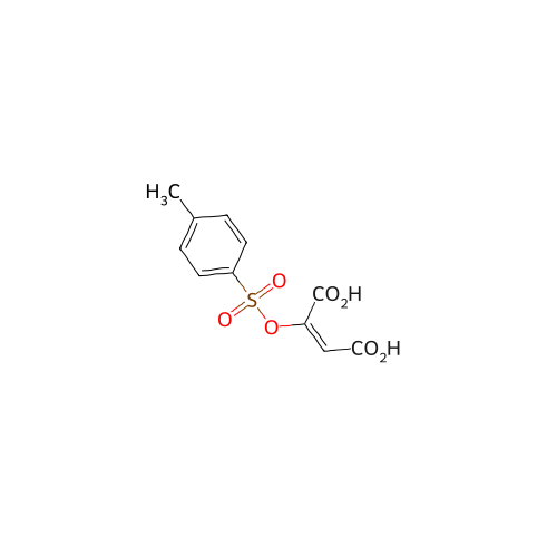 Cc1ccc(S(=O)(=O)O/C(=C/C(=O)O)C(=O)O)cc1